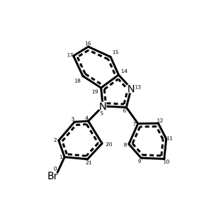 Brc1ccc(-n2c(-c3ccccc3)nc3ccccc32)cc1